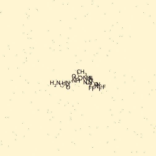 CCc1cc(Nc2nccn3c(-c4cn(CC(F)F)nc4C(F)(F)F)cnc23)ccc1C(=O)NCCNC(=O)[C@H]1CC[C@H](N)C1